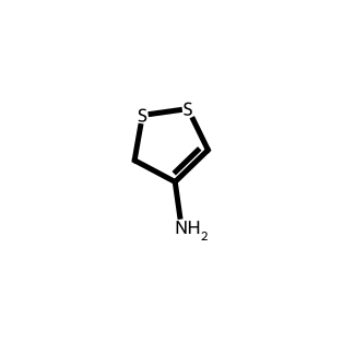 NC1=CSSC1